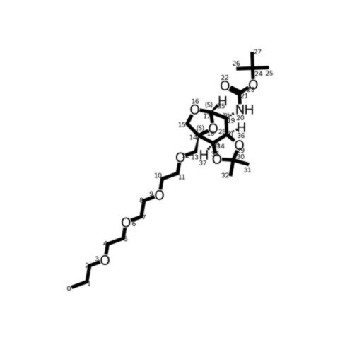 CCCOCCOCCOCCOC[C@@]12CO[C@@H](O1)[C@H](NC(=O)OC(C)(C)C)[C@H]1OC(C)(C)O[C@H]12